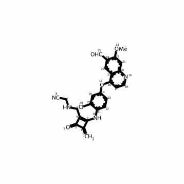 C=C1C(=O)C(CNCC#N)=C1Nc1ccc(Oc2ccnc3cc(OC)c(C=O)cc23)cc1Cl